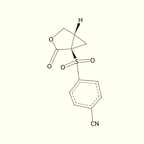 N#Cc1ccc(S(=O)(=O)[C@]23C[C@H]2COC3=O)cc1